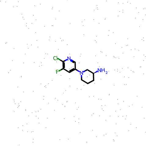 N[C@H]1CCCN(c2cnc(Cl)c(F)c2)C1